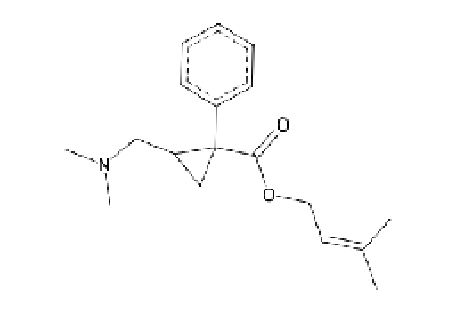 CC(C)=CCOC(=O)C1(c2ccccc2)CC1CN(C)C